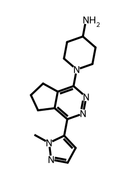 Cn1nccc1-c1nnc(N2CCC(N)CC2)c2c1CCC2